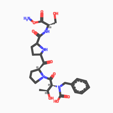 C[C@H](O)[C@H](C(=O)N1CCC[C@H]1C(=O)C1CCC(C(=O)N[C@@H](CO)C(=O)ON)N1)N(Cc1ccccc1)C(=O)O